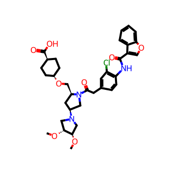 CO[C@H]1CN([C@H]2C[C@@H](CO[C@H]3CC[C@H](C(=O)O)CC3)N(C(=O)Cc3ccc(NC(=O)c4coc5ccccc45)c(Cl)c3)C2)C[C@H]1OC